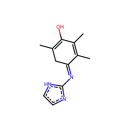 CC1=C(O)C(C)=C(C)C(=Nc2ncc[nH]2)C1